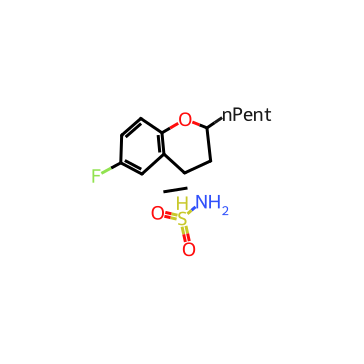 CC.CCCCCC1CCc2cc(F)ccc2O1.N[SH](=O)=O